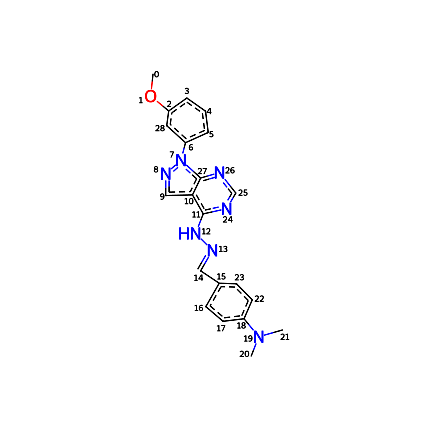 COc1cccc(-n2ncc3c(N/N=C/c4ccc(N(C)C)cc4)ncnc32)c1